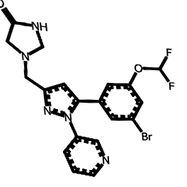 O=C1CN(Cc2cc(-c3cc(Br)cc(OC(F)F)c3)n(-c3cccnc3)n2)CN1